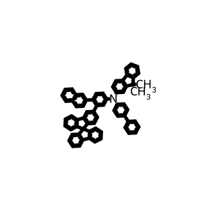 CC1(C)c2ccccc2-c2ccc(N(c3ccc(-c4ccccc4)cc3)c3ccc(-c4ccc5ccccc5c4)c(-c4ccc5c(c4)-c4ccccc4C54c5ccccc5-c5ccccc54)c3)cc21